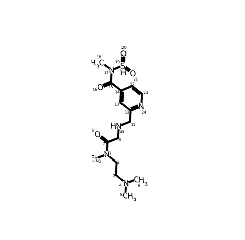 CCN(CCN(C)C)C(=O)CNCc1cc(C(=O)N(C)[SH](=O)=O)ccn1